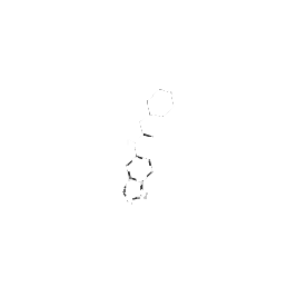 O=C(CC1CCCCC1)Nc1ccc2[nH]ncc2c1